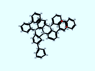 c1ccc(-c2cccc(N3c4cccc5c4B(c4cc(-c6ccccc6)ccc4N5c4ccccc4-c4ccccc4)c4cccc(-c5ccccc5)c43)c2)cc1